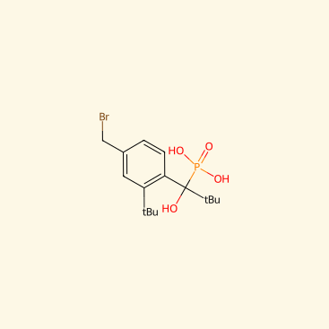 CC(C)(C)c1cc(CBr)ccc1C(O)(C(C)(C)C)P(=O)(O)O